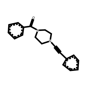 O=C(c1ccccc1)N1CCN(C#Cc2ccccc2)CC1